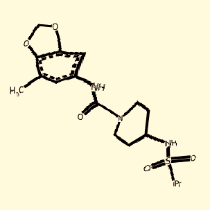 Cc1cc(NC(=O)N2CCC(NS(=O)(=O)C(C)C)CC2)cc2c1OCO2